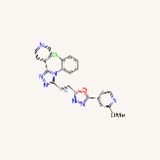 COc1cc(-c2nnc(/C=C/c3nnc(-c4ccncc4)n3-c3ccccc3Cl)o2)ccn1